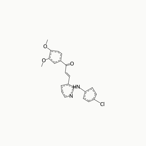 COc1ccc(C(=O)/C=C/c2cccnc2Nc2ccc(Cl)cc2)cc1OC